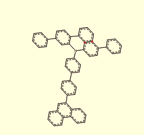 c1ccc(-c2ccc(N(c3ccc(-c4ccc(-c5cc6ccccc6c6ccccc56)cc4)cc3)c3cc(-c4ccccc4)ccc3-c3ccccc3)cc2)cc1